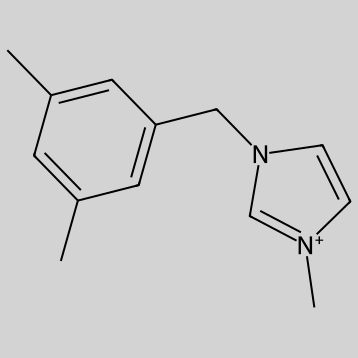 Cc1cc(C)cc(Cn2cc[n+](C)c2)c1